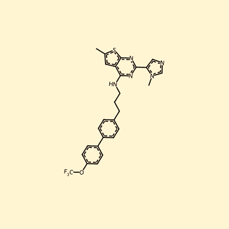 Cc1cc2c(NCCCc3ccc(-c4ccc(OC(F)(F)F)cc4)cc3)nc(-c3cncn3C)nc2s1